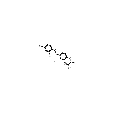 CC(Oc1ccc(COc2ccc(Cl)cc2Cl)cc1)C(=O)[O-].[K+]